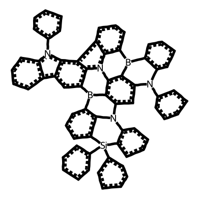 c1ccc(N2c3ccccc3B3c4c2cc2c5c4-n4c6c3cccc6c3c4c(cc4c6ccccc6n(-c6ccccc6)c43)B5c3cccc4c3N2c2ccccc2[Si]4(c2ccccc2)c2ccccc2)cc1